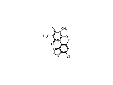 Cn1c(=S)n(C)c(=O)n(-c2c(F)cc(Cl)c3ncoc23)c1=O